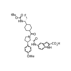 COc1ccc([C@H]2CCN(C(=O)C3CCC([C@@H](CF)NC(=O)OC(C)(C)C)CC3)[C@@H]2C(=O)Nc2ccc3[nH]c(C(=O)O)cc3c2)cc1